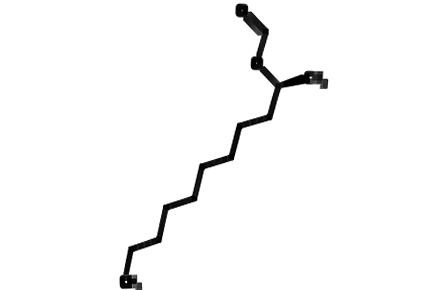 CCCCCCCCC[C@H](C)OC=O